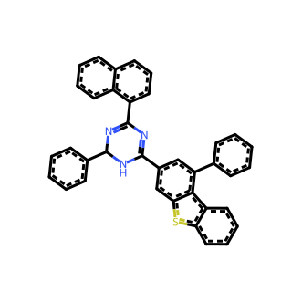 c1ccc(-c2cc(C3=NC(c4cccc5ccccc45)=NC(c4ccccc4)N3)cc3sc4ccccc4c23)cc1